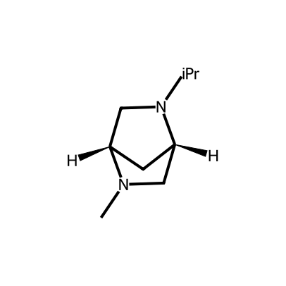 CC(C)N1C[C@@H]2C[C@H]1CN2C